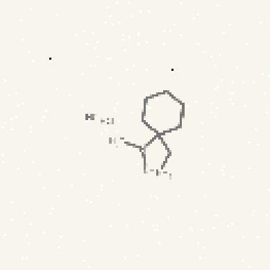 CN(C)C1(CN)CCCCC1.Cl.Cl